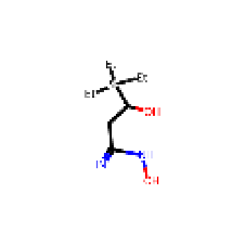 CC[Si](CC)(CC)C(O)CC(=N)NO